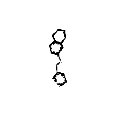 C1=Cc2cc(OCc3ccccc3)ccc2CC1